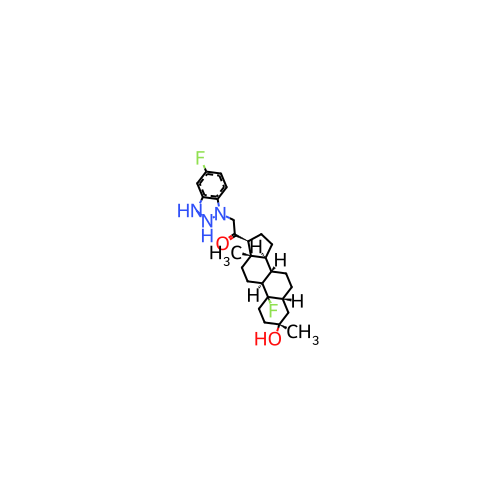 C[C@@]1(O)CC[C@@]2(F)[C@H](CC[C@H]3[C@@H]4CC[C@H](C(=O)CN5NNc6cc(F)ccc65)[C@@]4(C)CC[C@@H]32)C1